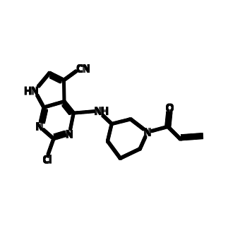 C=CC(=O)N1CCCC(Nc2nc(Cl)nc3[nH]cc(C#N)c23)C1